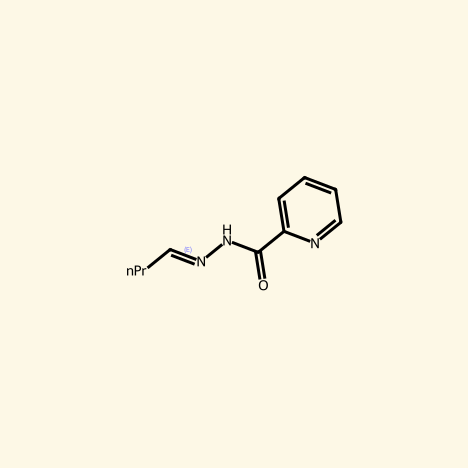 CCC/C=N/NC(=O)c1ccccn1